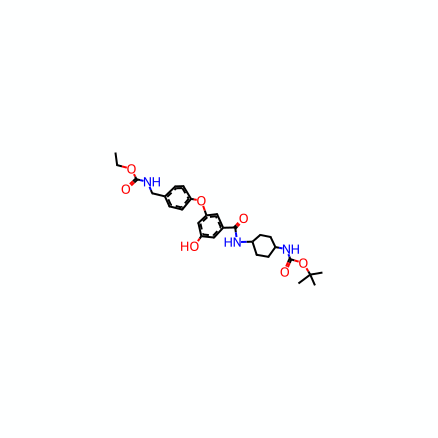 CCOC(=O)NCc1ccc(Oc2cc(O)cc(C(=O)NC3CCC(NC(=O)OC(C)(C)C)CC3)c2)cc1